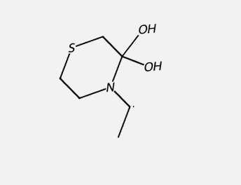 C[CH]N1CCSCC1(O)O